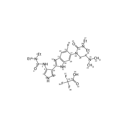 CCN(CC)C(=O)Nc1c[nH]nc1-c1nc2cc(F)c(N(CCN(C)C)C(=O)N(CC)CC)cc2[nH]1.O=C(O)C(F)(F)F